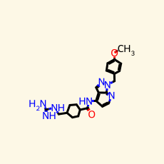 COc1ccc(Cn2ncc3c(NC(=O)C4CCC(CNC(=N)N)CC4)ccnc32)cc1